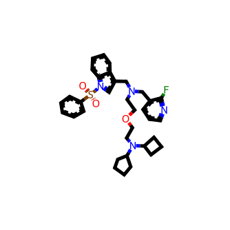 O=S(=O)(c1ccccc1)n1cc(CN(CCOCCN(C2CCCC2)C2CCC2)Cc2cccnc2F)c2ccccc21